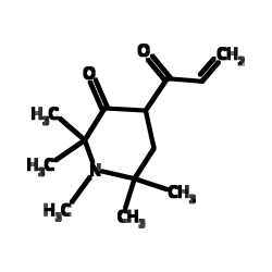 C=CC(=O)C1CC(C)(C)N(C)C(C)(C)C1=O